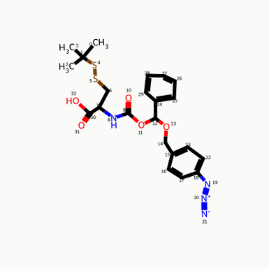 CC(C)(C)SSCC(NC(=O)OC(OCc1ccc(N=[N+]=[N-])cc1)c1ccccc1)C(=O)O